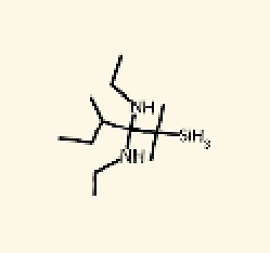 CCNC(NCC)(C(C)CC)C(C)(C)[SiH3]